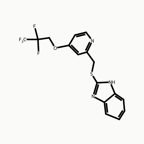 FC(F)(F)C(F)(F)COc1ccnc(CSc2nc3ccccc3[nH]2)c1